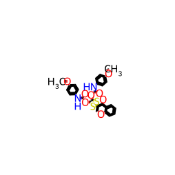 COc1ccc(NC(=O)OCSC2(SCOC(=O)Nc3ccc(OC)cc3)COc3ccccc3C2=O)cc1